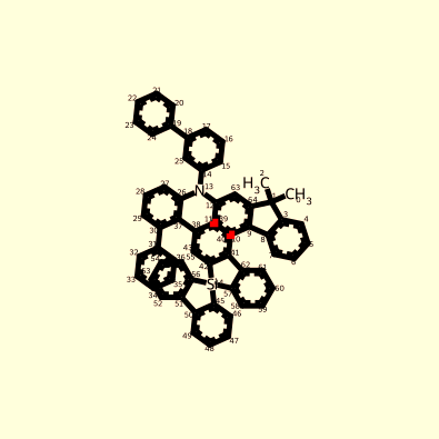 CC1(C)c2ccccc2-c2ccc(N(c3cccc(-c4ccccc4)c3)c3cccc(-c4ccccc4)c3-c3ccc4c(c3)[Si]3(c5ccccc5-c5ccccc53)c3ccccc3-4)cc21